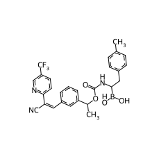 Cc1ccc(CC(NC(=O)OC(C)c2cccc(C=C(C#N)c3ccc(C(F)(F)F)cn3)c2)B(O)O)cc1